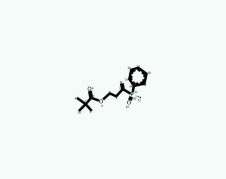 C=C(CCOC(=O)C(C)(C)C)[P@](C)(=O)c1ccccc1